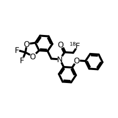 O=C(C[18F])N(Cc1cccc2c1OC(F)(F)O2)c1ccccc1Oc1ccccc1